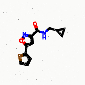 O=C(NCC1CC1)c1cc(-c2cccs2)on1